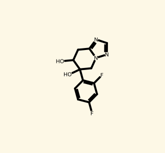 OC1Cc2ncnn2CC1(O)c1ccc(F)cc1F